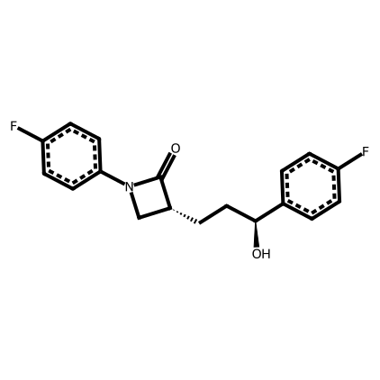 O=C1[C@H](CC[C@H](O)c2ccc(F)cc2)CN1c1ccc(F)cc1